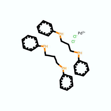 [Cl-].[Cl-].[Pd+2].c1ccc(PCCCPc2ccccc2)cc1.c1ccc(PCCCPc2ccccc2)cc1